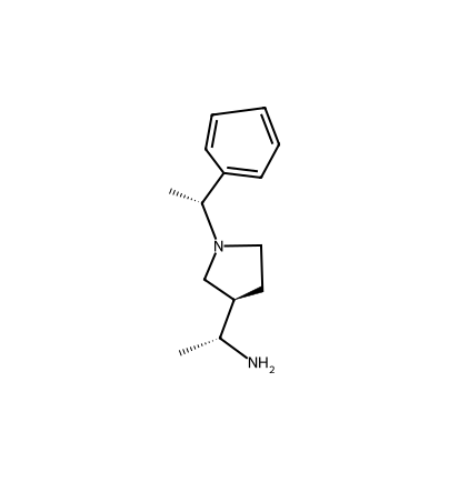 C[C@H](c1ccccc1)N1CC[C@@H]([C@@H](C)N)C1